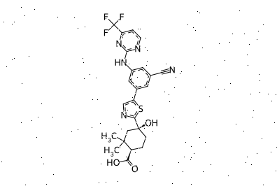 CC1(C)C[C@](O)(c2ncc(-c3cc(C#N)cc(Nc4nccc(C(F)(F)F)n4)c3)s2)CC[C@H]1C(=O)O